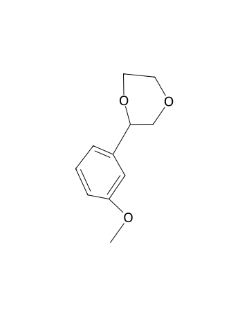 COc1cccc(C2COCCO2)c1